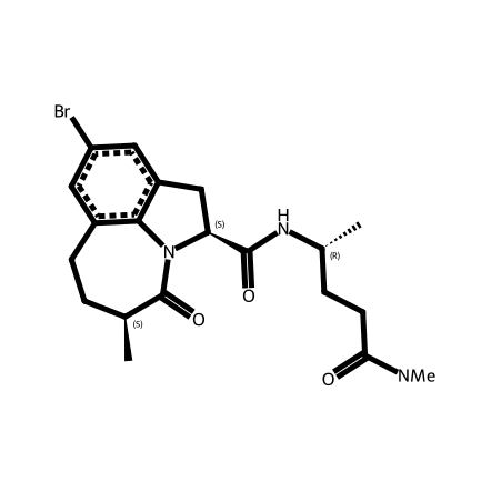 CNC(=O)CC[C@@H](C)NC(=O)[C@@H]1Cc2cc(Br)cc3c2N1C(=O)[C@@H](C)CC3